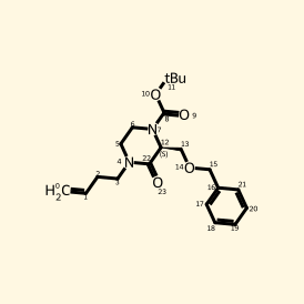 C=CCCN1CCN(C(=O)OC(C)(C)C)[C@@H](COCc2ccccc2)C1=O